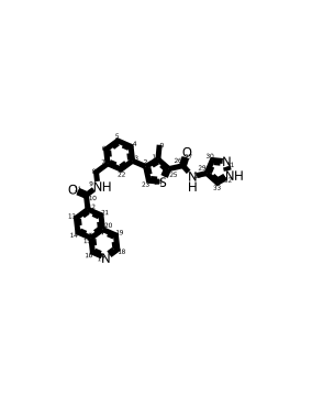 Cc1c(-c2cccc(CNC(=O)c3ccc4cnccc4c3)c2)csc1C(=O)Nc1cn[nH]c1